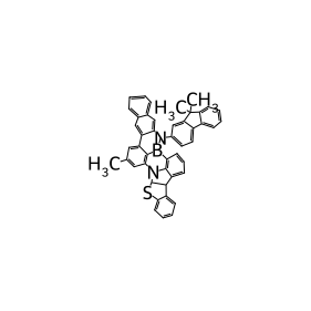 Cc1cc2c3c(c1)N1c4c(cccc4C4c5ccccc5SC41)B3N(c1ccc3c(c1)C(C)(C)c1ccccc1-3)c1cc3ccccc3cc1-2